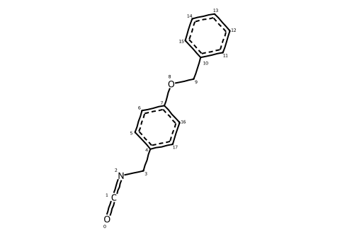 O=C=NCc1ccc(OCc2ccccc2)cc1